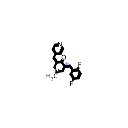 CN1CC(=Cc2ccncc2)C(=O)/C(=C/c2cc(F)ccc2F)C1